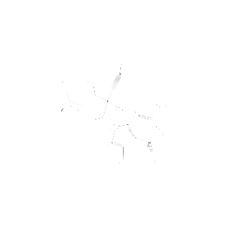 CC#CC1(N)C(O)[C@@H]([C@@H](C)O)O[C@H]1n1cc(F)c2c(=O)[nH]c(N)nc21